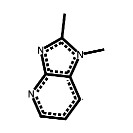 Cc1nc2ncc[c]c2n1C